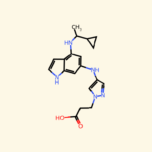 CC(Nc1cc(Nc2cnn(CCC(=O)O)c2)cc2[nH]ccc12)C1CC1